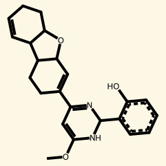 COC1=CC(C2=CC3OC4CCC=CC4C3CC2)=NC(c2ccccc2O)N1